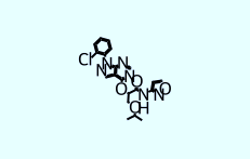 CC(C)OCC(Oc1ncnc2c1cnn2-c1ccccc1Cl)C(=O)Nc1ccon1